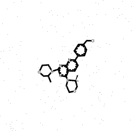 CC1COCCN1c1nc(N2CCOC[C@@H]2C)c2ccc(-c3ccc(CCl)cc3)nc2n1